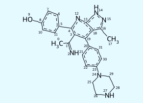 CC(=N)c1c(-c2ccc(O)cc2)nc2[nH]nc(C)c2c1-c1ccc(N2CCNCC2)cc1